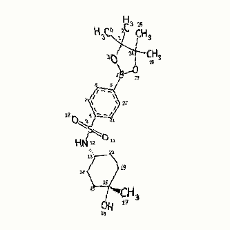 CC1(C)OB(c2ccc(S(=O)(=O)N[C@H]3CC[C@@](C)(O)CC3)cc2)OC1(C)C